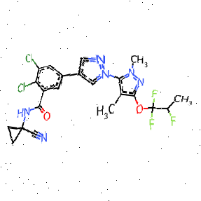 Cc1c(OC(F)(F)C(C)F)nn(C)c1-n1cc(-c2cc(Cl)c(Cl)c(C(=O)NC3(C#N)CC3)c2)cn1